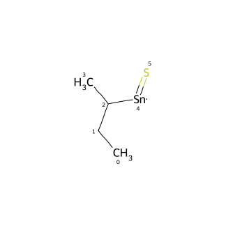 CC[CH](C)[Sn]=[S]